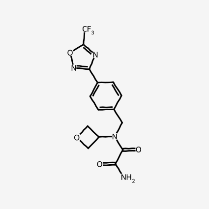 NC(=O)C(=O)N(Cc1ccc(-c2noc(C(F)(F)F)n2)cc1)C1COC1